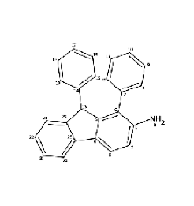 Nc1ccc2c(c1-c1ccccc1)C(c1ccccc1)c1ccccc1-2